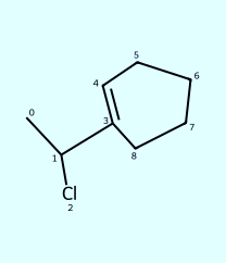 CC(Cl)C1=CCCCC1